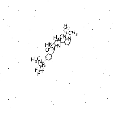 CC(C)N(C)c1ncccc1-c1ncc2[nH]c(=O)n(Cc3ccc(-c4nc(C(F)(F)F)cn4C)cc3)c2n1